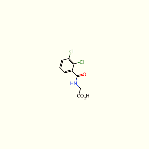 O=C(O)CNC(=O)c1cccc(Cl)c1Cl